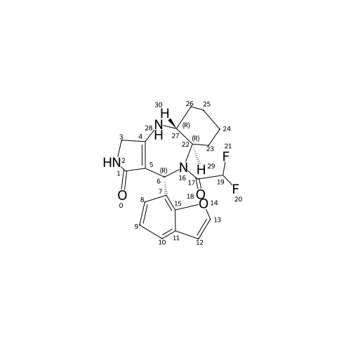 O=C1NCC2=C1[C@@H](c1cccc3ccoc13)N(C(=O)C(F)F)[C@@H]1CCCC[C@H]1N2